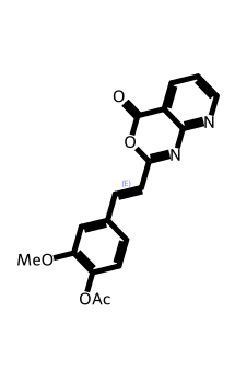 COc1cc(/C=C/c2nc3ncccc3c(=O)o2)ccc1OC(C)=O